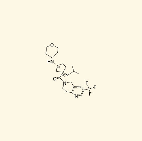 CC(C)C[C@]1(C(=O)N2CCc3ncc(C(F)(F)F)cc3C2)CC[C@@H](NC2CCOCC2)C1